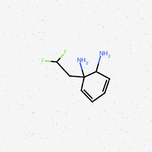 NC1C=CC=CC1(N)CC(F)F